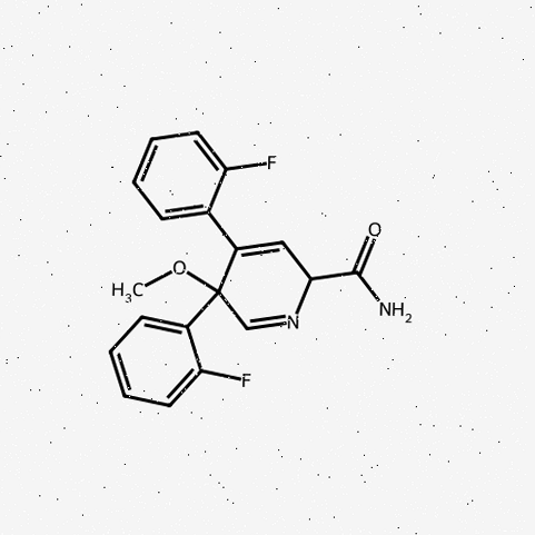 COC1(c2ccccc2F)C=NC(C(N)=O)C=C1c1ccccc1F